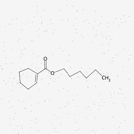 CCCCCCOC(=O)C1=CCCCC1